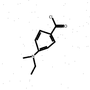 CCN(C)c1ccc(C(=O)Cl)cc1